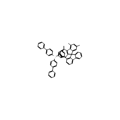 CC1=CC#CCC2=C1c1c(C)cc(C)cc1C21c2ccccc2-c2cccc(-c3cccc(N(c4ccc(-c5ccccc5)cc4)c4ccc(-c5ccccc5)cc4)c3)c21